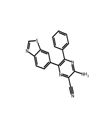 N#Cc1nc(-c2ccc3ncsc3c2)c(-c2ccccc2)nc1N